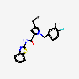 CC(C)Cc1cc(C(=O)Nc2nc3ccccc3s2)n(Cc2ccc(F)c(C(F)(F)F)c2)c1